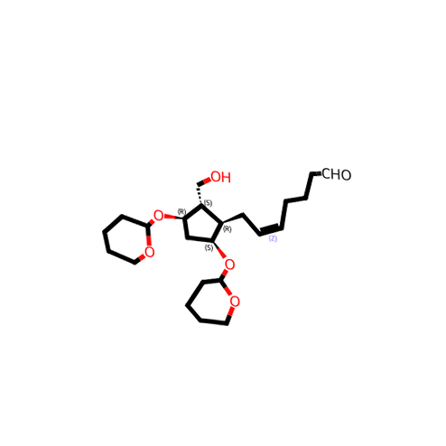 O=CCCC/C=C\C[C@@H]1[C@@H](CO)[C@H](OC2CCCCO2)C[C@@H]1OC1CCCCO1